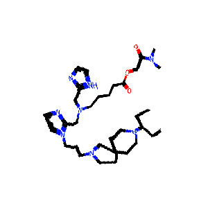 CCC(CC)N1CCC2(CCN(CCCn3ccnc3CN(CCCCC(=O)OCC(=O)N(C)C)Cc3ncc[nH]3)C2)CC1